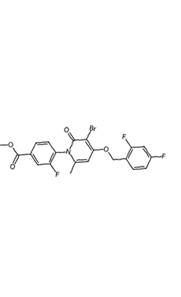 COC(=O)c1ccc(-n2c(C)cc(OCc3ccc(F)cc3F)c(Br)c2=O)c(F)c1